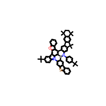 CC(C)(C)c1ccc(N2B3c4cc5c(cc4-n4c6ccc(C(C)(C)C)cc6c6c7oc8ccccc8c7c(c3c64)-c3cc4c(cc32)C(C)(C)c2cc3c(cc2-4)C(C)(C)CCC3(C)C)sc2ccccc25)cc1